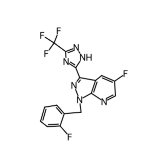 Fc1cnc2c(c1)c(-c1nc(C(F)(F)F)n[nH]1)nn2Cc1ccccc1F